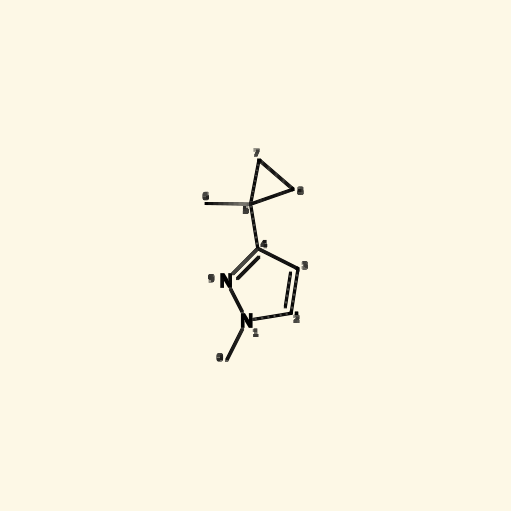 Cn1[c]cc(C2(C)CC2)n1